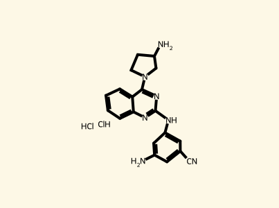 Cl.Cl.N#Cc1cc(N)cc(Nc2nc(N3CCC(N)C3)c3ccccc3n2)c1